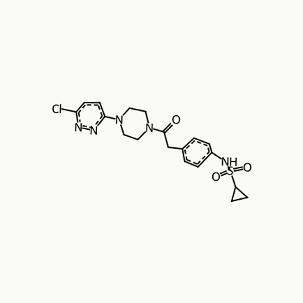 O=C(Cc1ccc(NS(=O)(=O)C2CC2)cc1)N1CCN(c2ccc(Cl)nn2)CC1